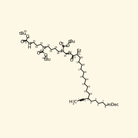 CC#CC(CCCCCCCCCCCCCCC)CCCCCCCCCCCC(CC)C(=O)N=CN(CCCCN(CCCNC(=O)OC(C)(C)C)C(=O)OC(C)(C)C)C(=O)OC(C)(C)C